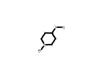 CCSC1CCN(C(C)C)CC1